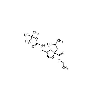 CCOC(=O)C1(CC(C)C)CC(CNC(=O)OC(C)(C)C)=NO1